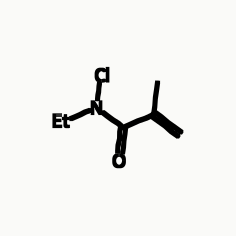 C=C(C)C(=O)N(Cl)CC